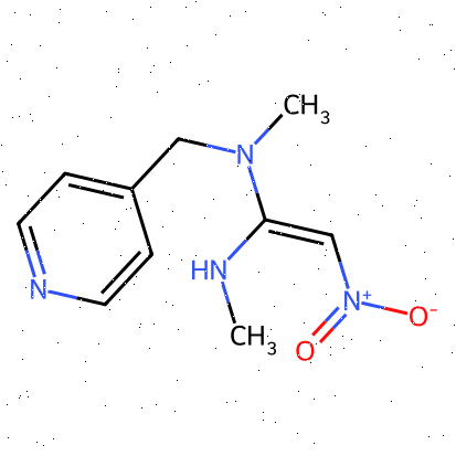 CNC(=C[N+](=O)[O-])N(C)Cc1ccncc1